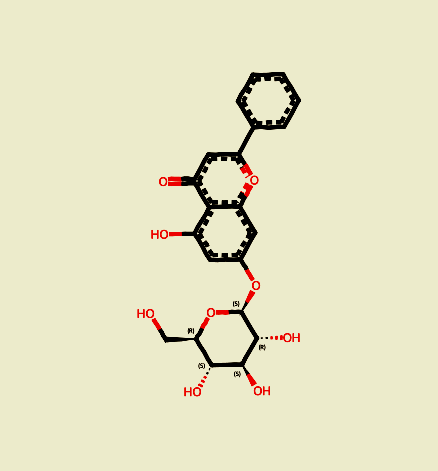 O=c1cc(-c2ccccc2)oc2cc(O[C@@H]3O[C@H](CO)[C@@H](O)[C@H](O)[C@H]3O)cc(O)c12